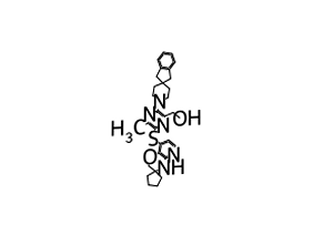 Cc1nc(N2CCC3(CC2)Cc2ccccc2C3)c(CO)nc1Sc1ccnc2c1OCC1(CCCC1)N2